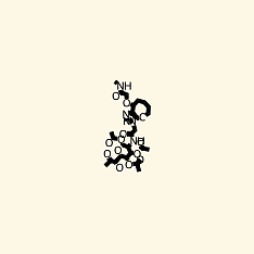 CNC(=O)COC1CCCCCc2c1nnn2CC(=O)NC1C(OC(C)=O)OC(C(=O)C(C)=O)C(OC(C)=O)C1OC(C)=O